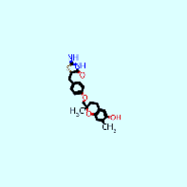 Cc1cc2c(cc1O)CCC(C)(COc1ccc(CC3SC(=N)NC3=O)cc1)O2